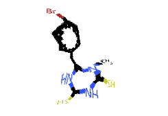 CN1C(S)NC(S)NC1c1ccc(Br)cc1